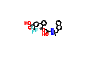 C[C@@H](OC[C@H](O)CNC(C)(C)Cc1ccc2ccccc2c1)c1ccccc1-c1ccc(C(=O)O)c(C(F)(F)F)c1